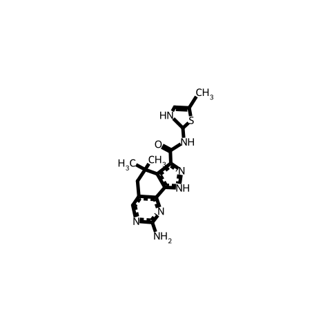 CC1=CNC(NC(=O)c2n[nH]c3c2C(C)(C)Cc2cnc(N)nc2-3)S1